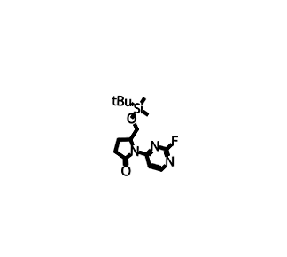 CC(C)(C)[Si](C)(C)OCC1CCC(=O)N1c1ccnc(F)n1